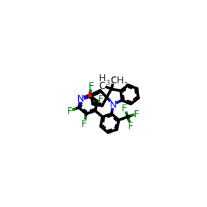 CC1(C)c2ccccc2N(c2c(-c3c(F)c(F)nc(F)c3F)cccc2C(F)(F)F)C12C=CC=C2